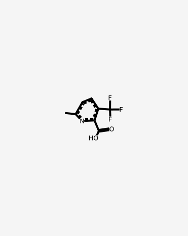 Cc1ccc(C(F)(F)F)c(C(=O)O)n1